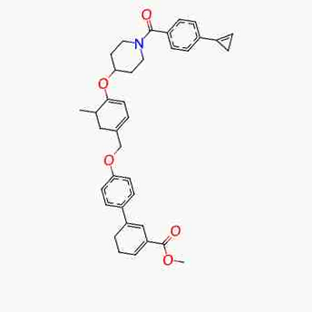 COC(=O)C1=CCCC(c2ccc(OCC3=CC=C(OC4CCN(C(=O)c5ccc(C6=CC6)cc5)CC4)C(C)C3)cc2)=C1